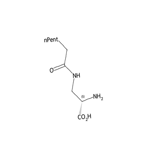 CCCCCCC(=O)NC[C@H](N)C(=O)O